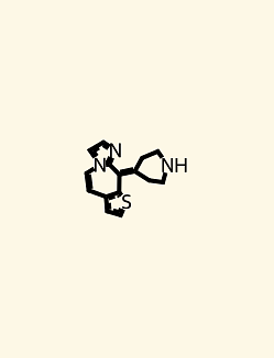 C1=Cn2ccnc2C(=C2CCNCC2)c2sccc21